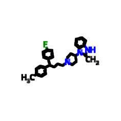 C=C1Nc2ccccc2N1C1CCN(CCCC(c2ccc(C)cc2)c2ccc(F)cc2)CC1